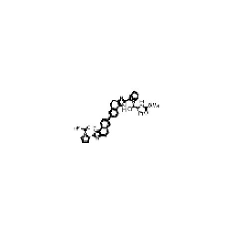 CCCC(=O)N1CCC[C@H]1c1nc2ccc3cc(-c4ccc5c(c4)CCc4nc(C6C7CCC(C7)N6C(=O)[C@@H](NC(=O)OC)C(C)C)[nH]c4-5)ccc3c2[nH]1